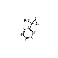 BrC1(c2cnccn2)CC1